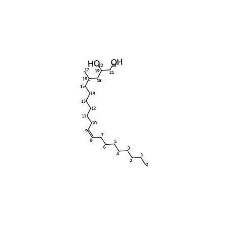 CCCCCCCC/C=C\CCCCCC[C](C)CC(O)CO